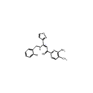 Cc1cnc(C(=N)/C=C(\NCc2ccccc2F)c2ccon2)nc1N